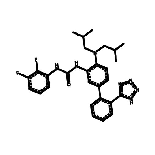 CC(C)CN(CC(C)C)c1ccc(-c2ccccc2-c2nnn[nH]2)cc1NC(=O)Nc1cccc(F)c1F